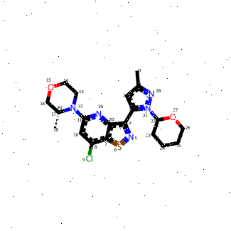 Cc1cc(-c2nsc3c(Cl)cc(N4CCOC[C@H]4C)nc23)n(C2CCCCO2)n1